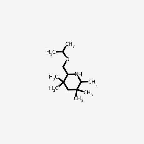 CC(C)OCC1NC(C)C(C)(C)CC1(C)C